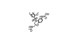 CCn1cc(S(=O)(=O)N2CC(CNC(C)=O)Oc3ccc(NC(=O)O)cc32)c(OC)n1